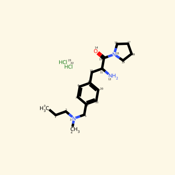 CCCN(C)Cc1ccc(CC(N)C(=O)N2CCCC2)cc1.Cl.Cl